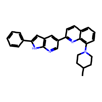 CC1CCN(c2cccc3ccc(-c4cnc5[nH]c(-c6ccccc6)cc5c4)nc23)CC1